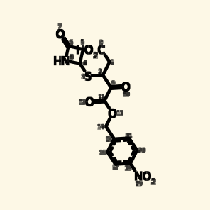 O=C(O)CC(SC1CC(=O)N1)C(=O)C(=O)OCc1ccc([N+](=O)[O-])cc1